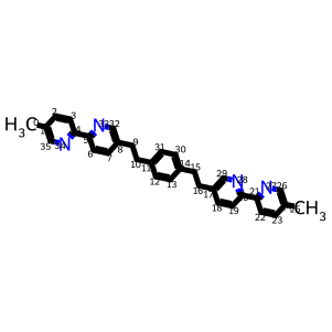 Cc1ccc(-c2ccc(CCc3ccc(CCc4ccc(-c5ccc(C)cn5)nc4)cc3)cn2)nc1